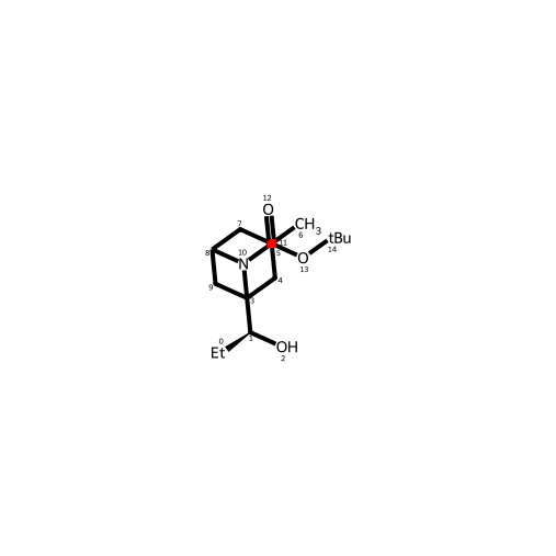 CC[C@H](O)C12CC(C)CC(C1)N2C(=O)OC(C)(C)C